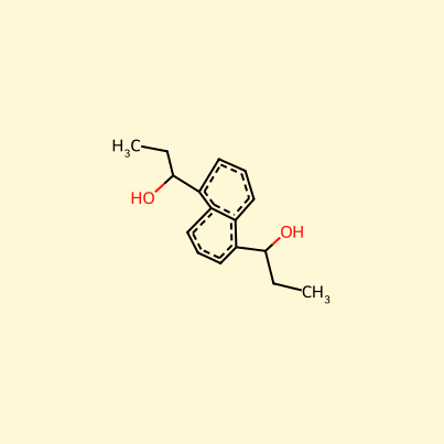 CCC(O)c1cccc2c(C(O)CC)cccc12